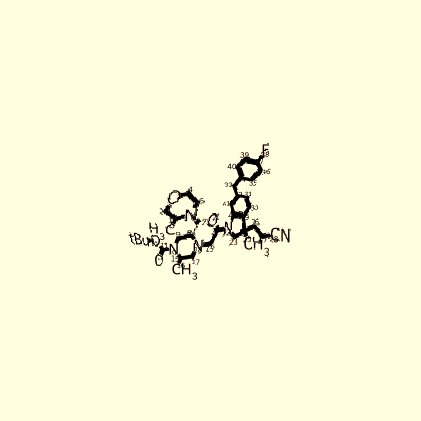 CC1COCCN1C[C@H]1CN(C(=O)OC(C)(C)C)C(C)CN1CC(=O)N1CC(C)(CCC#N)c2ccc(Cc3ccc(F)cc3)cc21